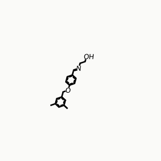 Cc1cc(C)cc(COc2ccc(C=NCCO)cc2)c1